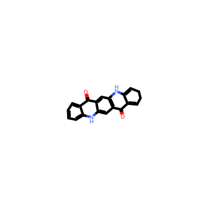 O=c1c2c([nH]c3cc4c(=O)c5ccccc5[nH]c4cc13)=CCCC=2